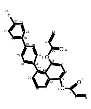 C=CC(=O)Oc1ccc(OC(=O)C=C)c2c(-c3ccc(-c4ccc(F)cc4)cc3)cccc12